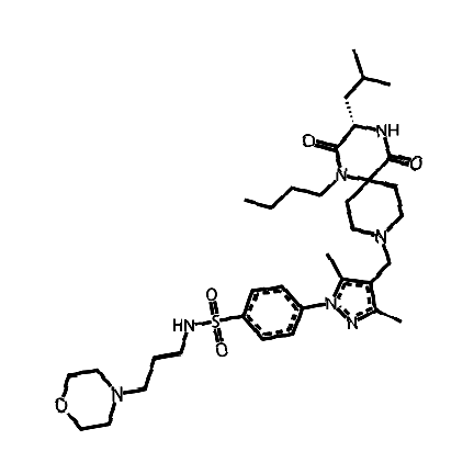 CCCCN1C(=O)[C@H](CC(C)C)NC(=O)C12CCN(Cc1c(C)nn(-c3ccc(S(=O)(=O)NCCCN4CCOCC4)cc3)c1C)CC2